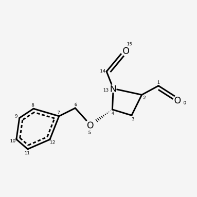 O=CC1C[C@H](OCc2ccccc2)N1C=O